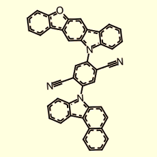 N#Cc1cc(-n2c3ccccc3c3c4ccccc4ccc32)c(C#N)cc1-n1c2ccccc2c2cc3oc4ccccc4c3cc21